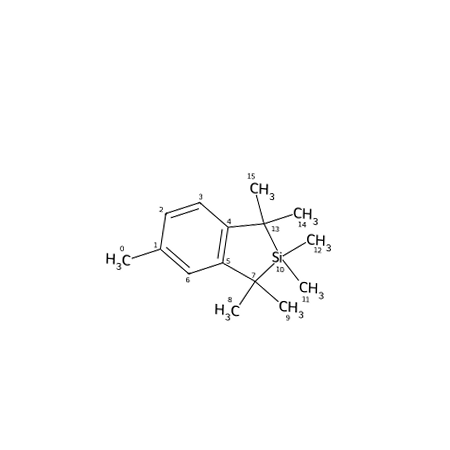 Cc1ccc2c(c1)C(C)(C)[Si](C)(C)C2(C)C